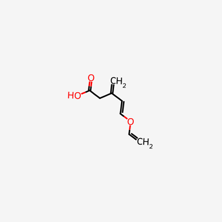 C=COC=CC(=C)CC(=O)O